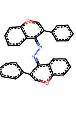 c1ccc(-c2coc3ccccc3c2=NN=c2c(-c3ccccc3)coc3ccccc23)cc1